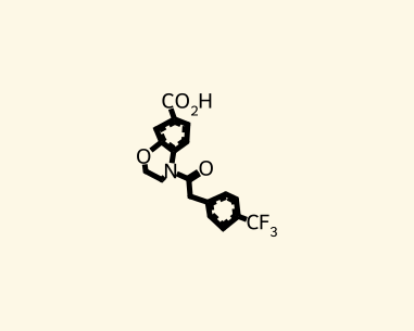 O=C(O)c1ccc2c(c1)OCCN2C(=O)Cc1ccc(C(F)(F)F)cc1